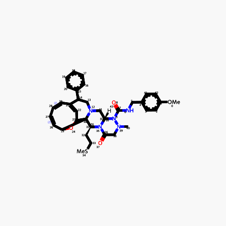 COc1ccc(CNC(=O)N2[C@H]3CN4CC(c5ccccc5)C5=CC6OC(/C=C\C=C/5)C64[C@H](CCSC)N3C(=O)CN2C)cc1